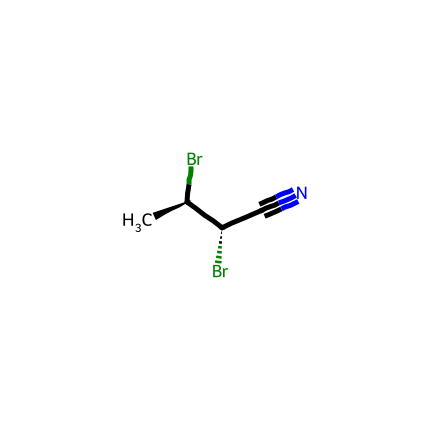 C[C@@H](Br)[C@@H](Br)C#N